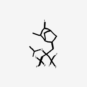 CC(C)OC(CC1CC2CC1C(C)C2I)(C(F)(F)F)C(F)(F)F